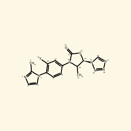 Cc1nccn1-c1ccc(N2C(=O)O[C@@H](n3cnnn3)C2C)cc1F